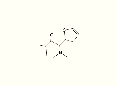 CC(C)C(=O)C(C1CC=CS1)N(C)C